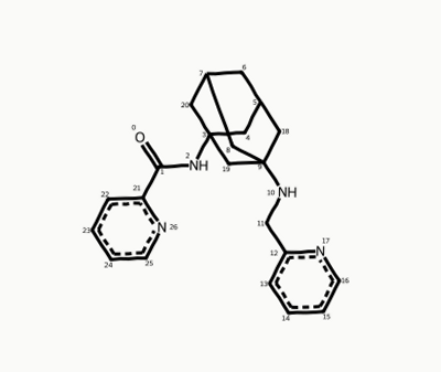 O=C(NC12CC3CC(CC(NCc4ccccn4)(C3)C1)C2)c1ccccn1